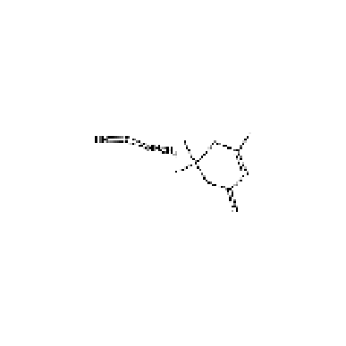 C.CC1=CC(=O)CC(C)(C)C1.N=C=N